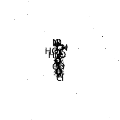 Cc1oncc1C(O)C(C#N)C(=O)Nc1ccc(S(=O)(=O)c2ccc(Cl)cc2)cc1